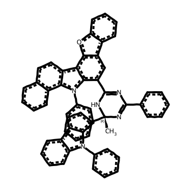 C[C@]1(c2ccccc2)N=C(c2ccccc2)N=C(c2cc3c4ccccc4oc3c3c4ccc5ccccc5c4n(-c4ccc5c(c4)c4ccccc4n5-c4ccccc4)c23)N1